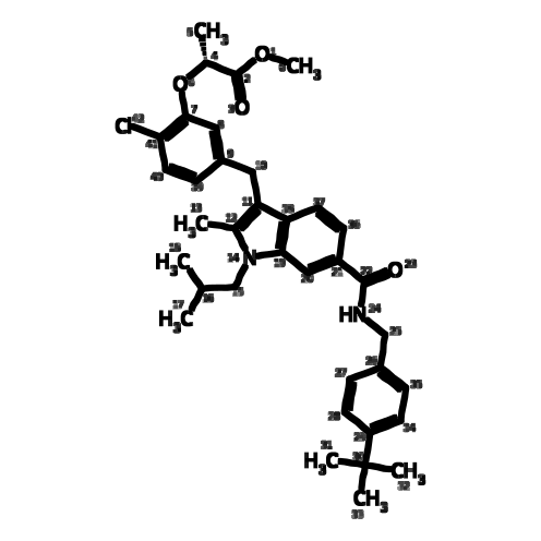 COC(=O)[C@@H](C)Oc1cc(Cc2c(C)n(CC(C)C)c3cc(C(=O)NCc4ccc(C(C)(C)C)cc4)ccc23)ccc1Cl